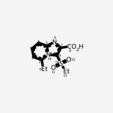 CCc1cccc2nc(C(=O)O)c(S(=O)(=O)CC)n12